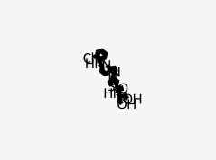 O=C(NC(CO)CO)c1cc(-n2ncc3nc(Nc4ccccc4Cl)ccc32)cs1